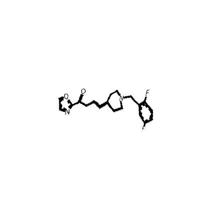 O=C(CCCC1CCN(Cc2cc(F)ccc2F)CC1)c1ncco1